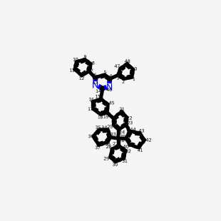 c1ccc(-c2cc(-c3ccccc3)nc(-c3cccc(-c4ccc5c(c4)C(c4ccccc4)(c4ccccc4)c4ccccc4-5)c3)n2)cc1